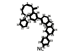 C=C1/C=C\C=C/CN(c2ccccc2)c2ccc(C3=Cc4c(sc5ccc(-c6ccc(C#N)cc6)cc45)CC3)cc21